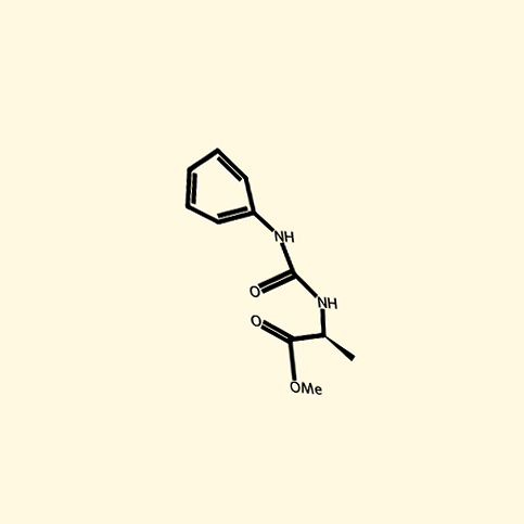 COC(=O)[C@H](C)NC(=O)Nc1ccccc1